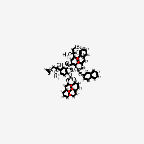 CC(C)(C)CC(C)(C)c1ccc(OP(Oc2ccc3ccccc3c2)Oc2ccc3ccccc3c2)c(S(=O)(=O)c2cc(C(C)(C)CB3CC3)ccc2OP(Oc2ccc3ccccc3c2)Oc2ccc3ccccc3c2)c1